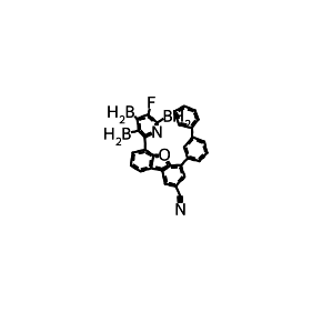 Bc1nc(-c2cccc3c2oc2c(-c4cccc(-c5ccccc5)c4)cc(C#N)cc23)c(B)c(B)c1F